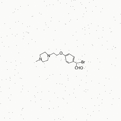 CN1CCN(CCOc2ccc(C(Br)C=O)cc2)CC1